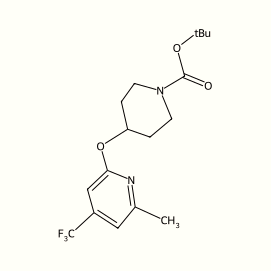 Cc1cc(C(F)(F)F)cc(OC2CCN(C(=O)OC(C)(C)C)CC2)n1